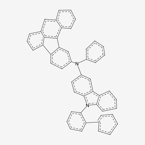 c1ccc(-c2ccccc2-n2c3ccccc3c3cc(N(c4ccccc4)c4ccc5c(c4)-c4c6ccccc6cc6cccc-5c46)ccc32)cc1